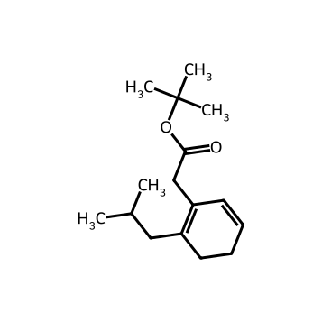 CC(C)CC1=C(CC(=O)OC(C)(C)C)C=CCC1